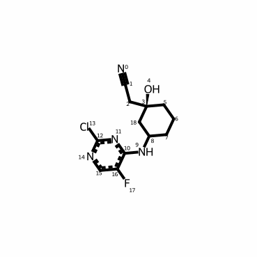 N#CC[C@]1(O)CCCC(Nc2nc(Cl)ncc2F)C1